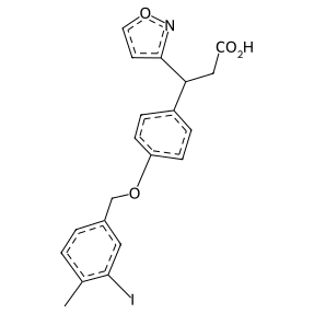 Cc1ccc(COc2ccc(C(CC(=O)O)c3ccon3)cc2)cc1I